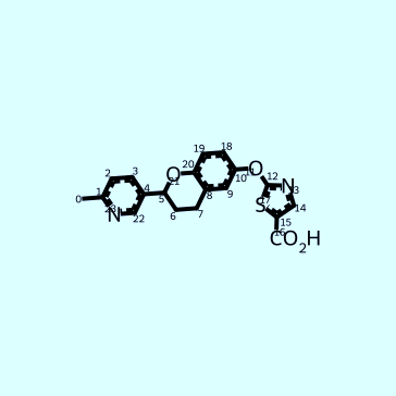 Cc1ccc(C2CCc3cc(Oc4ncc(C(=O)O)s4)ccc3O2)cn1